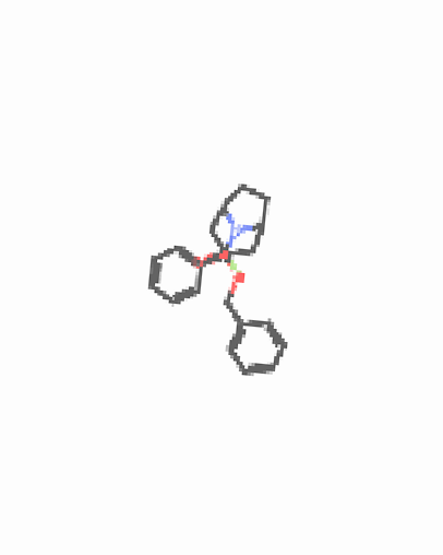 O=C(OCc1ccccc1)N1C2CCC1CC(F)(c1ccccc1)C2